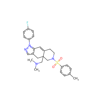 Cc1ccc(S(=O)(=O)N2CCC3=Cc4c(cnn4-c4ccc(F)cc4)CC3(CN(C)C)C2)cc1